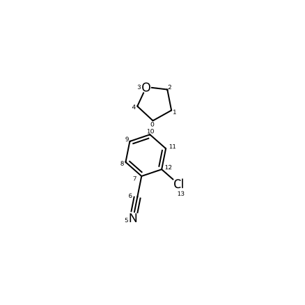 C1CCOC1.N#Cc1ccccc1Cl